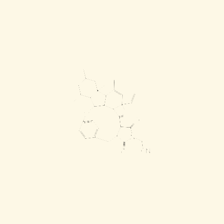 C=CC1(C)C=C(C)C2C3C(Oc4ccc(cc4)CC4C(=O)N(CC#N)C(=O)C4C(=O)C31)C1C(C)CC(C)CC21C